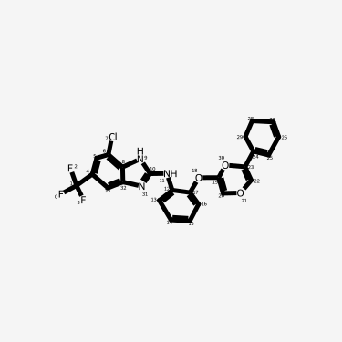 FC(F)(F)c1cc(Cl)c2[nH]c(Nc3ccccc3OC3=COC=C(C4=CC=CCC4)O3)nc2c1